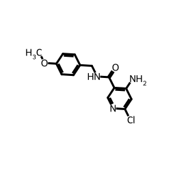 COc1ccc(CNC(=O)c2cnc(Cl)cc2N)cc1